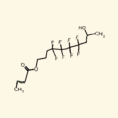 CC=CC(=O)OCCCC(F)(F)C(F)(F)C(F)(F)C(F)(F)CC(C)O